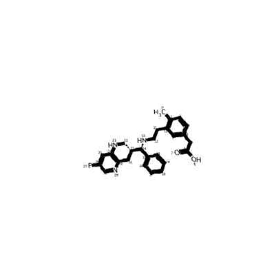 Cc1ccc(CC(=O)O)cc1CCN[C@H](c1ccccc1)[C@H]1CNc2cc(F)cnc2C1